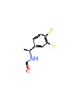 CC(NC=O)c1ccc(F)c(F)c1